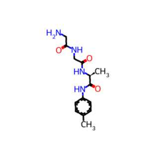 Cc1ccc(NC(=O)[C@H](C)NC(=O)CNC(=O)CN)cc1